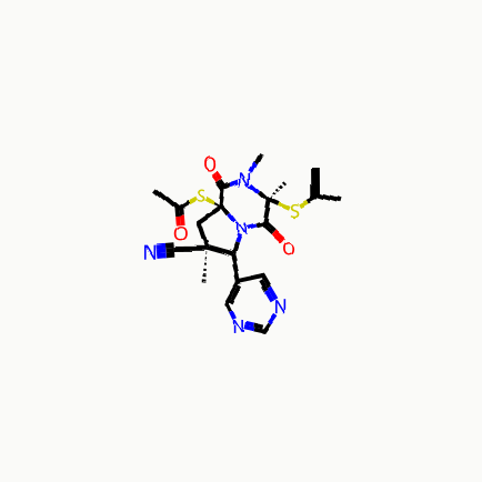 C=C(C)S[C@@]1(C)C(=O)N2C(c3cncnc3)[C@@](C)(C#N)C[C@]2(SC(C)=O)C(=O)N1C